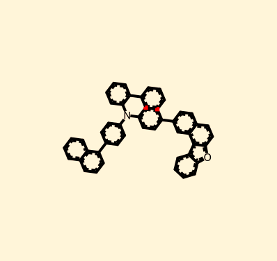 c1ccc(-c2ccccc2N(c2ccc(-c3ccc4ccc5oc6ccccc6c5c4c3)cc2)c2ccc(-c3cccc4ccccc34)cc2)cc1